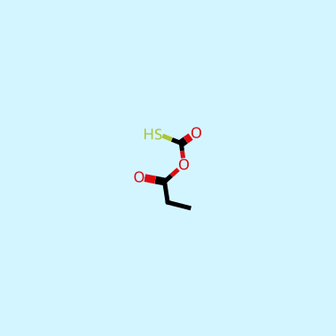 CCC(=O)OC(=O)S